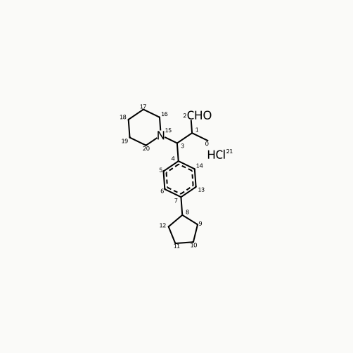 CC(C=O)C(c1ccc(C2CCCC2)cc1)N1CCCCC1.Cl